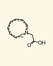 O=C(O)Cn1cccccccc1